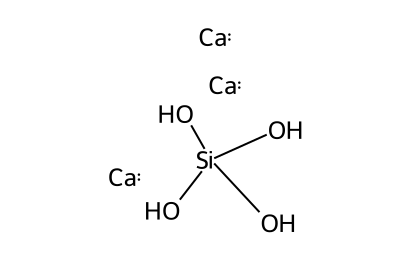 O[Si](O)(O)O.[Ca].[Ca].[Ca]